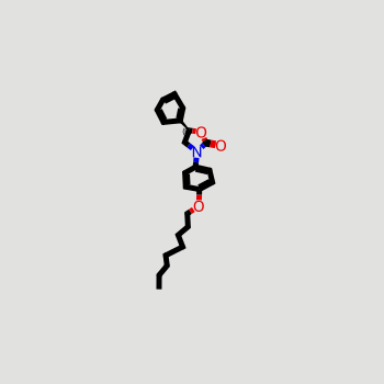 CCCCCCCCOc1ccc(N2C[C@@H](c3ccccc3)OC2=O)cc1